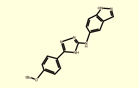 CC(C)(C)Oc1ccc(-c2nnc(Nc3ccc4[nH]ncc4c3)[nH]2)cc1